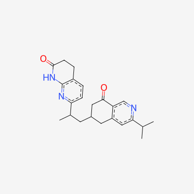 CC(C)c1cc2c(cn1)C(=O)CC(CC(C)c1ccc3c(n1)NC(=O)CC3)C2